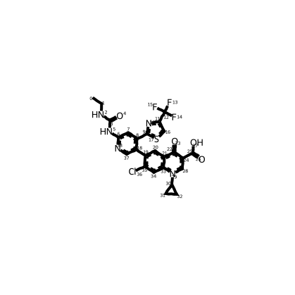 CCNC(=O)Nc1cc(-c2nc(C(F)(F)F)cs2)c(-c2cc3c(=O)c(C(=O)O)cn(C4CC4)c3cc2Cl)cn1